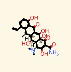 C=Cc1ccc(O)c2c1[C@H](C)[C@@H]1C(=C(O)[C@]3(O)C(=O)C(C(N)=O)=C(O)[C@@H](N(C)C)[C@@H]3[C@H]1O)C2=O